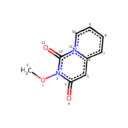 COn1c(=O)cc2ccccn2c1=O